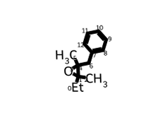 CCC1(C)OC1(C)Cc1ccccc1